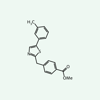 COC(=O)c1ccc(Cc2ncc(-c3cccc(C)c3)s2)cc1